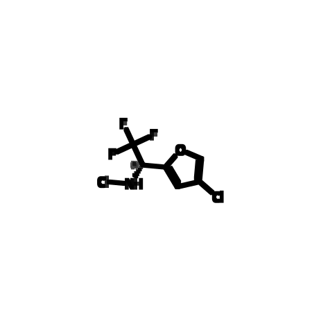 FC(F)(F)[C@@H](NCl)c1cc(Cl)co1